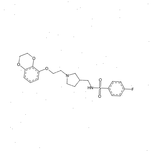 O=S(=O)(NCC1CCN(CCOc2cccc3c2OCCO3)C1)c1ccc(F)cc1